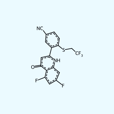 N#Cc1ccc(SCC(F)(F)F)c(-c2cc(=O)c3c(F)cc(F)cc3[nH]2)c1